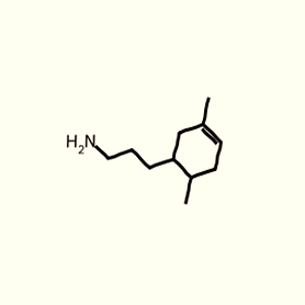 CC1=CCC(C)C(CCCN)C1